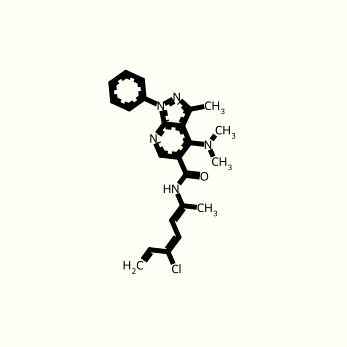 C=C/C(Cl)=C\C=C(/C)NC(=O)c1cnc2c(c(C)nn2-c2ccccc2)c1N(C)C